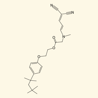 CN(/C=C/C=C(C#N)C#N)CC(=O)OCCOc1ccc(C(C)(C)CC(C)(C)C)cc1